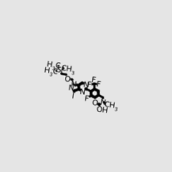 CN(Cc1cc(F)c(-c2ncc3c(n2)c(I)nn3COCC[Si](C)(C)C)c(C(F)(F)F)c1)C(=O)O